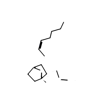 CCCCCCSC[C@@H]1[C@@H]2CCC(S2)[C@@H]1C/C=C\CCCC(=O)O